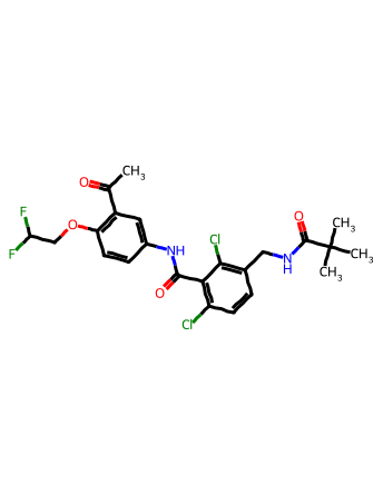 CC(=O)c1cc(NC(=O)c2c(Cl)ccc(CNC(=O)C(C)(C)C)c2Cl)ccc1OCC(F)F